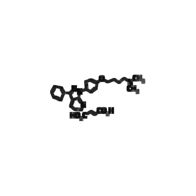 CN(C)CCCCOc1ccc(-n2nc(-c3ccccc3)c3cccnc32)cc1.O=C(O)C=CC(=O)O